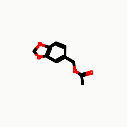 CC(=O)OCc1ccc2c(c1)OCO2